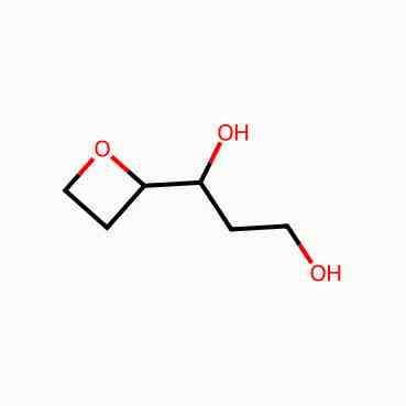 OCCC(O)C1CCO1